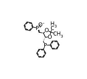 CC1(C)O[C@H](/C=[P+](\[O-])c2ccccc2)[C@@H](CP(c2ccccc2)c2ccccc2)O1